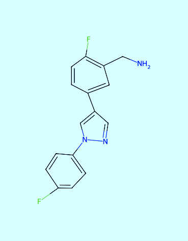 NCc1cc(-c2cnn(-c3ccc(F)cc3)c2)ccc1F